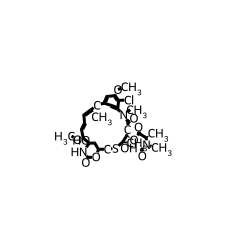 COc1cc2cc(c1Cl)N(C)C(=O)C[C@H](OC(=O)[C@H](C)N(C)C=O)[C@](C)(O)SCC1C[C@@](O)(NC(=O)O1)[C@H](OC)/C=C/C=C(\C)C2